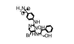 NS(=O)(=O)c1ccc(Nc2ncc(Br)c(N[C@@H](CO)[C@H](O)c3ccccc3)n2)cc1